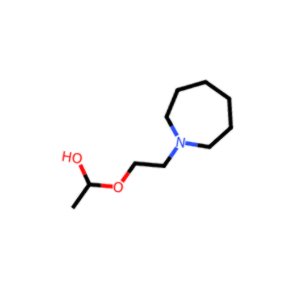 CC(O)OCCN1CCCCCC1